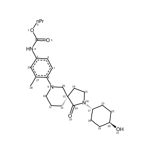 CCCOC(=O)Nc1ccc(N2CCC[C@@]3(CCN([C@H]4CC[C@H](O)CC4)C3=O)C2)c(C)c1